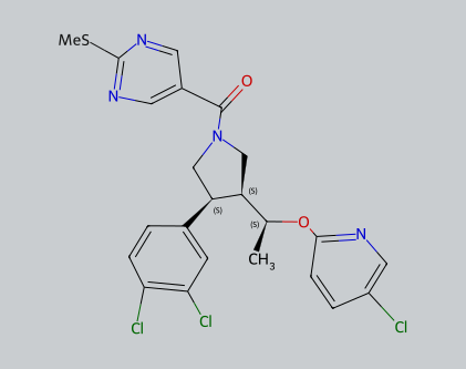 CSc1ncc(C(=O)N2C[C@@H]([C@H](C)Oc3ccc(Cl)cn3)[C@@H](c3ccc(Cl)c(Cl)c3)C2)cn1